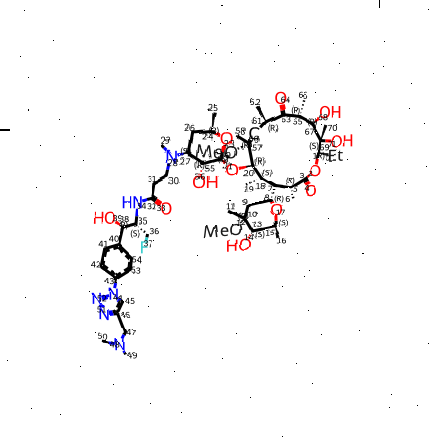 CC[C@H]1OC(=O)[C@H](C)C([C@H]2C[C@@](C)(OC)[C@@H](O)[C@H](C)O2)[C@H](C)[C@@H](O[C@@H]2O[C@H](C)C[C@H](N(C)CCC(=O)N[C@H](CF)[C@H](O)c3ccc(-n4cc(CN(C)C)nn4)cc3)[C@H]2O)[C@](C)(OC)C[C@@H](C)C(=O)[C@H](C)[C@@H](O)[C@]1(C)O